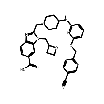 N#Cc1ccc(COc2cccc(NC3CCN(Cc4nc5ccc(C(=O)O)cc5n4CC4CCO4)CC3)n2)nc1